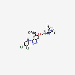 COc1cc2c(Nc3ccc(Cl)c(Cl)c3)ncnc2cc1OCCN[C@H]1C[C@H]2CC[C@@H](C1)N2C